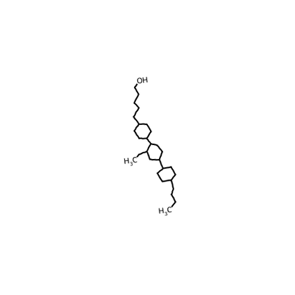 CCCCC1CCC(C2CCC(C3CCC(CCCCCO)CC3)C(CC)C2)CC1